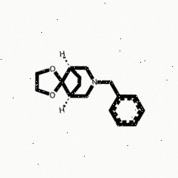 c1ccc(CN2C[C@H]3CC[C@@H](C2)C32OCCO2)cc1